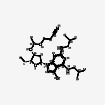 CC[C@H]1O[C@@H](n2nc(Br)c3c(NCC(C)C)nc(NCC(C)C)nc32)C[C@H]1OP(C)OCCC#N